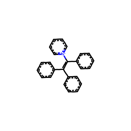 c1ccc(C(=C(c2ccccc2)[n+]2ccccc2)c2ccccc2)cc1